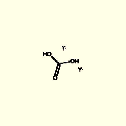 O=C(O)O.[Y].[Y]